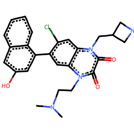 CN(C)CCn1c(=O)c(=O)n(CC2CNC2)c2cc(Cl)c(-c3cc(O)cc4ccccc34)cc21